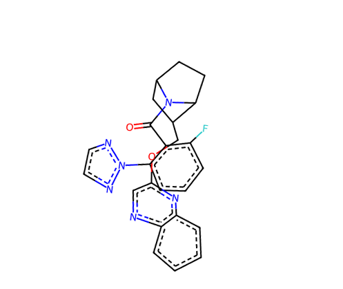 O=C(c1c(F)cccc1-n1nccn1)N1C2CCC1C(COc1cnc3ccccc3n1)C2